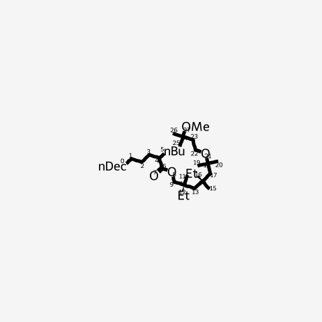 CCCCCCCCCCCCCC(CCCC)C(=O)OC[C@](C)(CC)C[C@](C)(CC)CC(C)(C)OCCC(C)(C)OC